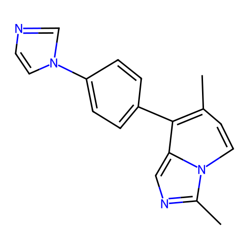 Cc1ccn2c(C)ncc2c1-c1ccc(-n2ccnc2)cc1